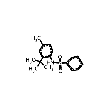 Cc1ccc(NS(=O)(=O)c2ccccc2)c(C(C)(C)C)c1